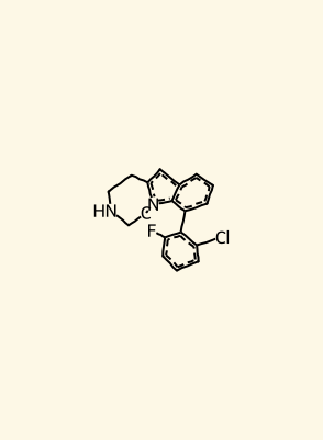 Fc1cccc(Cl)c1-c1cccc2cc3n(c12)CCNCC3